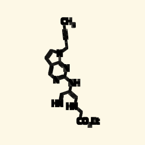 CC#CCn1ccc2cnc(N/C(C=N)=C/NCC(=O)OCC)nc21